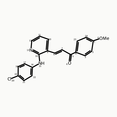 COc1ccc(C(=O)/C=C/c2cccnc2Nc2ccc(Cl)cc2)cc1